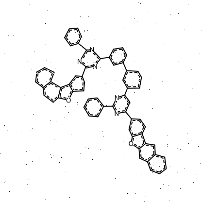 c1ccc(-c2nc(-c3cccc(-c4cccc(-c5nc(-c6ccccc6)nc(-c6ccc7oc8ccc9ccccc9c8c7c6)n5)c4)c3)cc(-c3ccc4c(c3)oc3cc5ccccc5cc34)n2)cc1